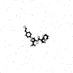 O=CCC1CCC(n2cc(NC(=O)c3cnn4cccnc34)c(C(F)F)n2)CC1